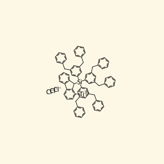 [Cl-].[Cl-].[Cl-].[Ti+3][c]1cccc2c1C([Si](c1cc(Cc3ccccc3)cc(Cc3ccccc3)c1)(c1cc(Cc3ccccc3)cc(Cc3ccccc3)c1)c1cc(Cc3ccccc3)cc(Cc3ccccc3)c1)c1ccccc1-2